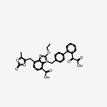 CCOc1nc2c(Cc3oc(=O)oc3C)ccc(C(=O)O)c2n1Cc1ccc(-c2ccccc2C(=O)C(=O)O)cc1